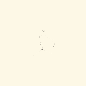 C=CC(=O)O.CC(C)(C)C(N)=O.N